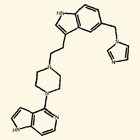 c1cn(Cc2ccc3[nH]cc(CCN4CCN(c5nccc6[nH]ccc56)CC4)c3c2)cn1